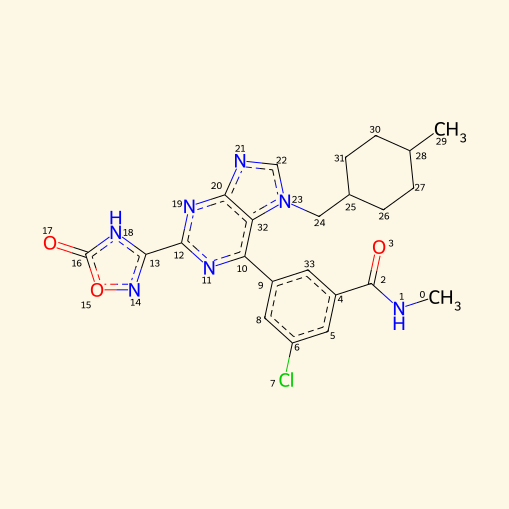 CNC(=O)c1cc(Cl)cc(-c2nc(-c3noc(=O)[nH]3)nc3ncn(CC4CCC(C)CC4)c23)c1